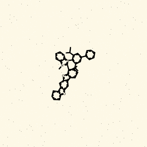 Cc1ccc2c(oc3cc4c(cc32)oc2ccccc24)c1-c1n(-c2c(C(C)C)cc(-c3ccccc3)cc2C(C)C)c2ccccc2[n+]1C